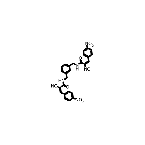 [C-]#[N+]/C(=C/c1ccc([N+](=O)[O-])cc1)C(=O)NCc1cccc(CNC(=O)/C(C#N)=C\c2ccc([N+](=O)[O-])cc2)c1